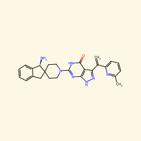 C=C(c1cccc(C)n1)c1n[nH]c2nc(N3CCC4(CC3)Cc3ccccc3[C@H]4N)[nH]c(=O)c12